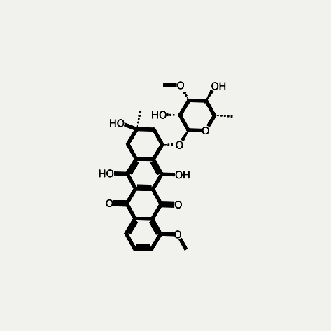 COc1cccc2c1C(=O)c1c(O)c3c(c(O)c1C2=O)C[C@@](C)(O)C[C@@H]3O[C@@H]1O[C@@H](C)[C@H](O)[C@@H](OC)[C@H]1O